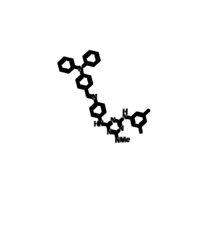 CNc1nc(Nc2ccc(/N=C/c3ccc(N(c4ccccc4)c4ccccc4)cc3)cc2)nc(Nc2cc(C)cc(C)c2)n1